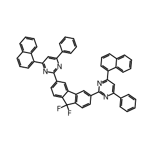 FC1(F)c2ccc(-c3nc(-c4ccccc4)cc(-c4cccc5ccccc45)n3)cc2-c2cc(-c3nc(-c4ccccc4)cc(-c4cccc5ccccc45)n3)ccc21